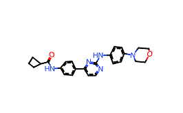 O=C(Nc1ccc(-c2ccnc(Nc3ccc(N4CCOCC4)cc3)n2)cc1)C1CCC1